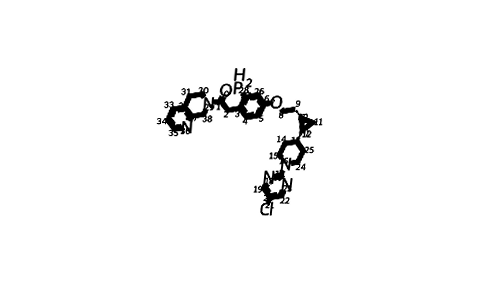 O=C(Cc1ccc(OCC[C@@H]2C[C@@H]2C2CCN(c3ncc(Cl)cn3)CC2)cc1P)N1CCc2cccnc2C1